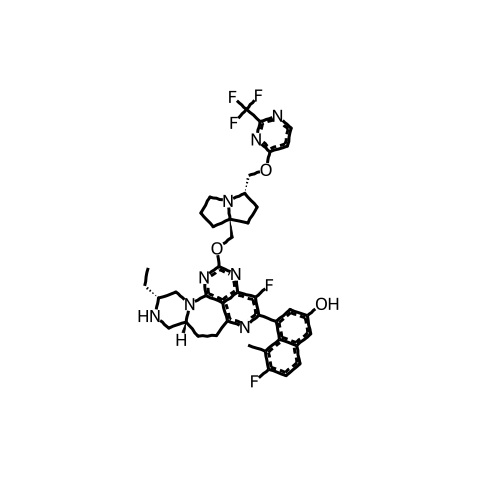 CC[C@@H]1CN2c3nc(OC[C@@]45CCCN4[C@H](COc4ccnc(C(F)(F)F)n4)CC5)nc4c(F)c(-c5cc(O)cc6ccc(F)c(C)c56)nc(c34)CC[C@@H]2CN1